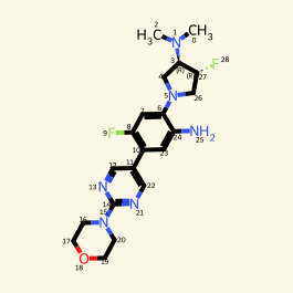 CN(C)[C@@H]1CN(c2cc(F)c(-c3cnc(N4CCOCC4)nc3)cc2N)C[C@H]1F